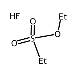 CCOS(=O)(=O)CC.F